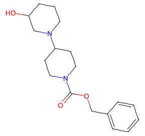 O=C(OCc1ccccc1)N1CCC(N2CCCC(O)C2)CC1